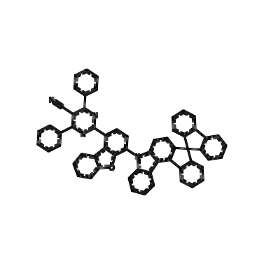 N#Cc1c(-c2ccccc2)nc(-c2ccc(-n3c4ccccc4c4c5c(ccc43)C3(c4ccccc4-c4ccccc43)c3ccccc3-5)c3oc4ccccc4c23)nc1-c1ccccc1